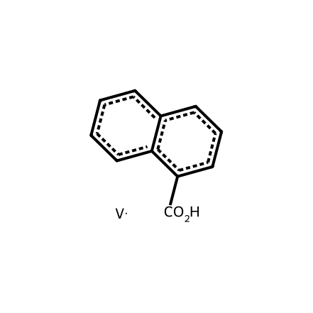 O=C(O)c1cccc2ccccc12.[V]